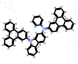 c1ccc(N(c2ccc3c4ccccc4c4ccccc4c3c2)c2ccc3c4ccccc4n(-c4ccc5c6ccccc6c6ccccc6c5c4)c3c2)cc1